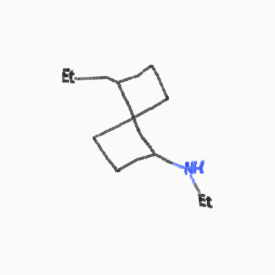 CCNC1CCC12CCC2CC